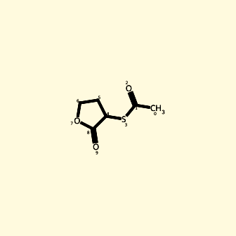 CC(=O)SC1CCOC1=O